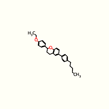 CCCCCc1ccc(-c2ccc3c(c2)CCC(c2ccc(OCC)cc2)O3)cc1